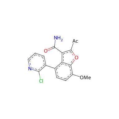 COc1ccc(-c2cccnc2Cl)c2c(C(N)=O)c(C(C)=O)oc12